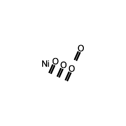 C=O.C=O.C=O.C=O.[Ni]